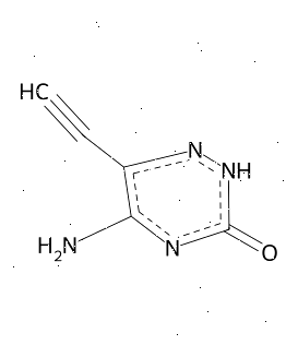 C#Cc1n[nH]c(=O)nc1N